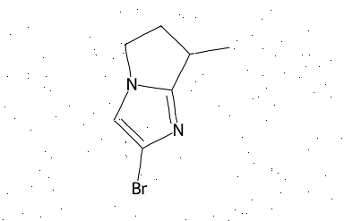 CC1CCn2cc(Br)nc21